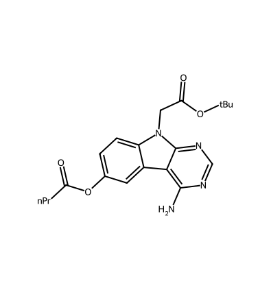 CCCC(=O)Oc1ccc2c(c1)c1c(N)ncnc1n2CC(=O)OC(C)(C)C